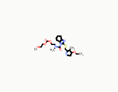 CCOCCOC(=O)OCCN(C)C(=O)n1c(SCc2nccc(OCC(F)(F)F)c2C)nc2ccccc21